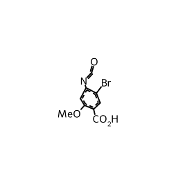 COc1cc(N=C=O)c(Br)cc1C(=O)O